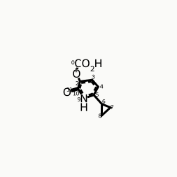 O=C(O)Oc1ccc(C2CC2)[nH]c1=O